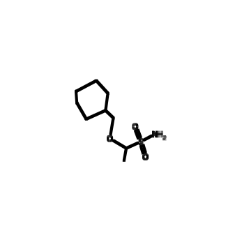 CC(OCC1CCCCC1)S(N)(=O)=O